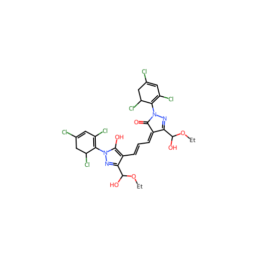 CCOC(O)C1=NN(C2=C(Cl)C=C(Cl)CC2Cl)C(=O)C1=CC=Cc1c(C(O)OCC)nn(C2=C(Cl)C=C(Cl)CC2Cl)c1O